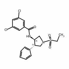 CCS(=O)(=O)N1C[C@H](NC(=O)c2cc(Cl)cc(Cl)c2)[C@@H](c2ccccc2)C1